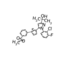 CC(C)(O)c1cc(-c2ccc(-c3cccc(S(C)(=O)=O)c3)s2)n(-c2cccc(F)c2Cl)n1